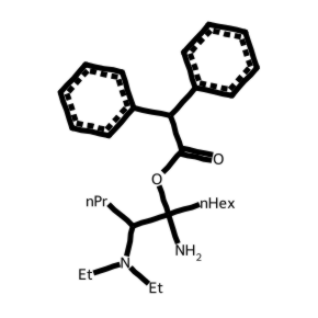 CCCCCCC(N)(OC(=O)C(c1ccccc1)c1ccccc1)C(CCC)N(CC)CC